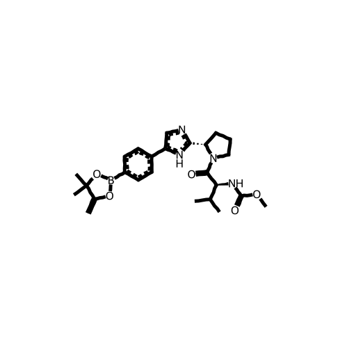 C=C1OB(c2ccc(-c3cnc([C@@H]4CCCN4C(=O)[C@@H](NC(=O)OC)C(C)C)[nH]3)cc2)OC1(C)C